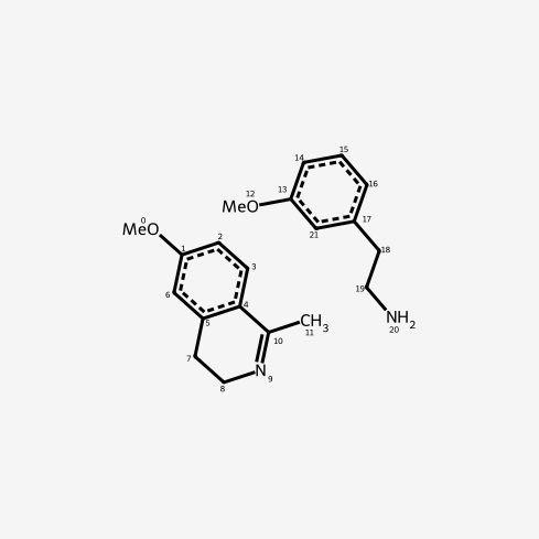 COc1ccc2c(c1)CCN=C2C.COc1cccc(CCN)c1